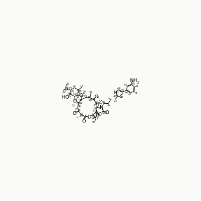 CC[C@H]1OC(=O)[C@H](C)C(=O)[C@H](C)[C@@H](OC2O[C@H](C)C[C@H](N(C)C)[C@H]2O)[C@@](C)(OC)C[C@@H](C)C(=O)[C@H](C)[C@H]2N(CCCCc3ncc(-c4cccc(N)c4)s3)C(=O)O[C@]12CC